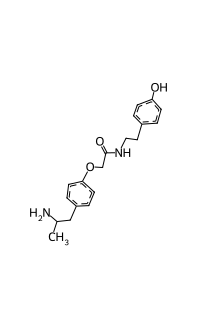 CC(N)Cc1ccc(OCC(=O)NCCc2ccc(O)cc2)cc1